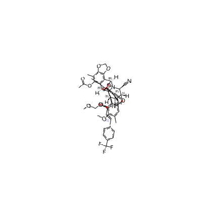 COCOc1c(OC)c(C)cc2c1[C@H]1N[C@@H](C2)[C@H](C#N)N2C1[C@@H]1SC[C@H](NC(=O)/C=C/c3ccc(C(F)(F)F)cc3)C(=O)OC[C@H]2c2c3c(c(C)c(OC(C)=O)c21)OCO3